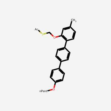 CCCCCOc1ccc(-c2ccc(-c3ccc(C)cc3OCSC(C)=O)cc2)cc1